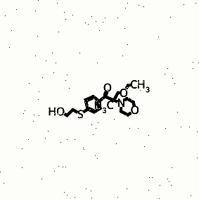 CCOCC(C)(C(=O)c1ccc(SCCO)cc1)N1CCOCC1